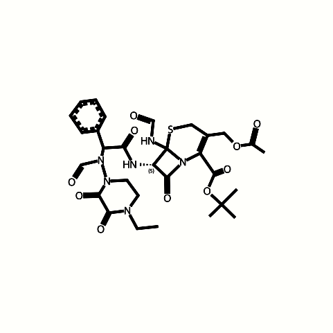 CCN1CCN(N(C=O)C(C(=O)N[C@H]2C(=O)N3C(C(=O)OC(C)(C)C)=C(COC(C)=O)CSC23NC=O)c2ccccc2)C(=O)C1=O